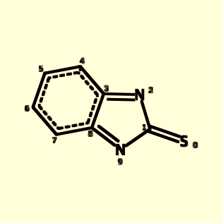 S=C1N=c2[c]cccc2=N1